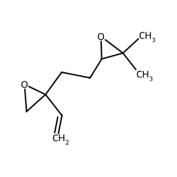 C=CC1(CCC2OC2(C)C)CO1